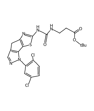 CC(C)(C)OC(=O)CCNC(=O)Nc1nc2c(s1)-c1c(cnn1-c1cc(Cl)ccc1Cl)C2